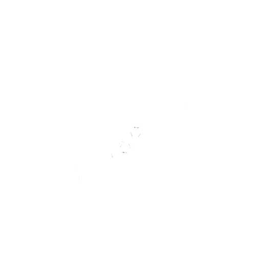 CCCCCCCCCc1ccc(-c2ncc(OC(=O)CCCCCC(C)CC)cn2)cc1